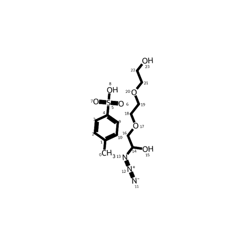 Cc1ccc(S(=O)(=O)O)cc1.[N-]=[N+]=NC(O)COCCOCCO